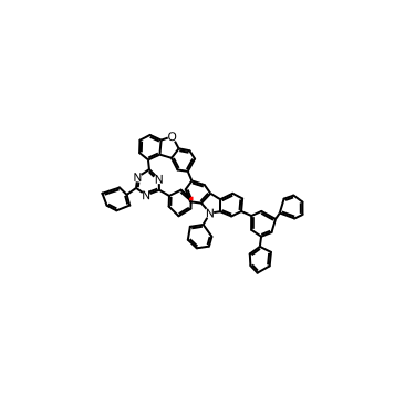 c1ccc(-c2cc(-c3ccccc3)cc(-c3ccc4c5cc(-c6ccc7oc8cccc(-c9nc(-c%10ccccc%10)nc(-c%10ccccc%10)n9)c8c7c6)ccc5n(-c5ccccc5)c4c3)c2)cc1